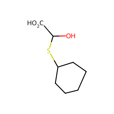 O=C(O)C(O)SC1CCCCC1